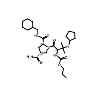 CCCOC(=O)N[C@@H](C(=O)N1C[C@H](C(=N)N)C[C@H]1C(=O)NCC1CCCCC1)C(C)(C)SC1CCCC1